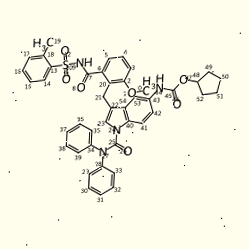 COc1cccc(C(=O)NS(=O)(=O)c2ccccc2C)c1Cc1cn(C(=O)N(c2ccccc2)c2ccccc2)c2ccc(NC(=O)OC3CCCC3)cc12